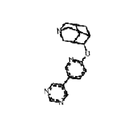 c1ncc(-c2ccc(OC3C4CC5CC3CN(C5)C4)nc2)cn1